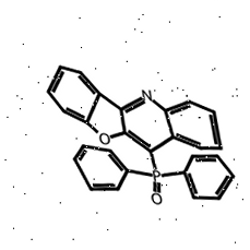 O=P(c1ccccc1)(c1ccccc1)c1c2ccccc2nc2c1oc1ccccc12